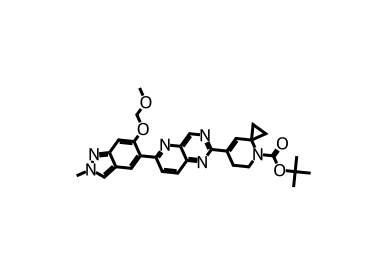 COCOc1cc2nn(C)cc2cc1-c1ccc2nc(C3=CC4(CC4)N(C(=O)OC(C)(C)C)CC3)ncc2n1